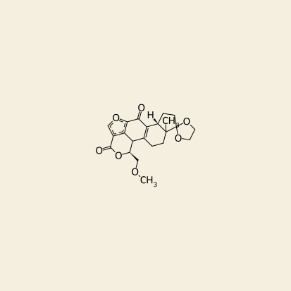 COC[C@H]1OC(=O)c2coc3c2C1C1=C(C3=O)[C@@H]2CCC3(OCCO3)C2(C)CC1